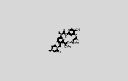 COC[C@@H](C)Oc1cc(NC(=O)N(C)c2ccc(CN3CCN(C)CC3=O)c(C(OC)OC)n2)ncc1C#N